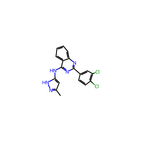 Cc1cc(Nc2nc(-c3ccc(Cl)c(Cl)c3)nc3ccccc23)[nH]n1